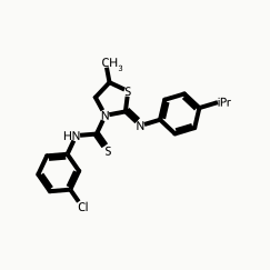 CC1CN(C(=S)Nc2cccc(Cl)c2)C(=Nc2ccc(C(C)C)cc2)S1